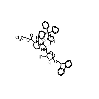 CC(C)[C@H](NC(=O)OCC1c2ccccc2-c2ccccc21)C(=O)N[C@@H](Cc1cn(C(c2ccccc2)(c2ccccc2)c2ccccc2)cn1)C(=O)N1CCC[C@@H](C(=O)OCC(Cl)(Cl)Cl)N1